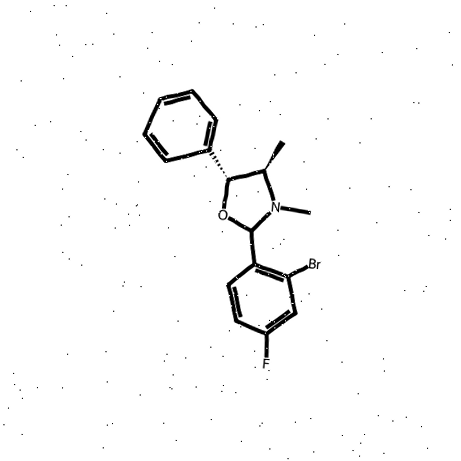 C[C@@H]1[C@@H](c2ccccc2)OC(c2ccc(F)cc2Br)N1C